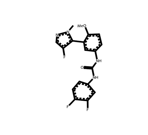 COc1ccc(NC(=O)Nc2ccc(F)c(F)c2)cc1-c1c(F)cnn1C